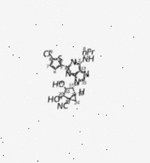 CCCNc1nc(-c2ccc(Cl)s2)nc2c1ncn2[C@H]1[C@H](O)[C@H](O)[C@]2(C#N)C[C@H]12